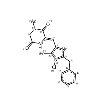 CC(=O)N1CC(=O)NC(=Cc2nc(Cc3ccccc3)n(Cl)c2C(C)C)C1=O